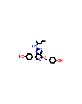 CCCC(C)Nc1ncc2c(OC[C@H]3CC[C@H](O)CC3)ncc([C@H]3CC[C@H](O)CC3)c2n1